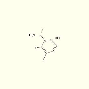 C[C@@H](N)c1cccc(F)c1F.Cl